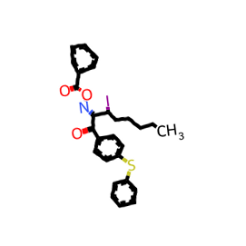 CCCCCC(I)C(=NOC(=O)c1ccccc1)C(=O)c1ccc(Sc2ccccc2)cc1